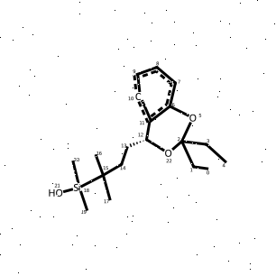 CCC1(CC)Oc2ccccc2[C@@H](CCC(C)(C)[Si](C)(C)O)O1